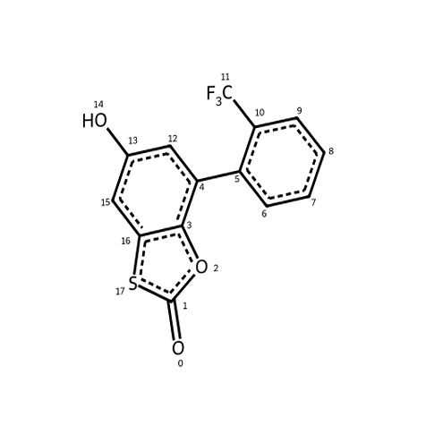 O=c1oc2c(-c3ccccc3C(F)(F)F)cc(O)cc2s1